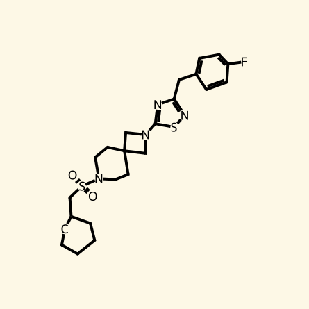 O=S(=O)(CC1CCCCC1)N1CCC2(CC1)CN(c1nc(Cc3ccc(F)cc3)ns1)C2